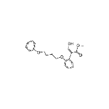 COC(=O)/C(=C\O)c1ccccc1OCCCCOc1ccccc1